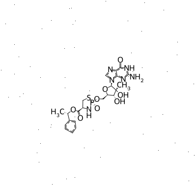 C[C@H](OC(=O)[C@H]1CS[P@](=O)(OC[C@H]2O[C@@H](n3cnc4c(=O)[nH]c(N)nc43)[C@](C)(O)[C@@H]2O)N1)c1ccccc1